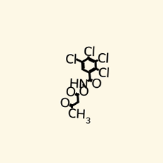 CC(=O)CC(=O)ONC(=O)c1cc(Cl)c(Cl)c(Cl)c1Cl